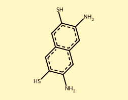 Nc1cc2cc(N)c(S)cc2cc1S